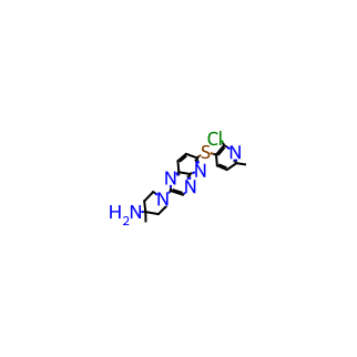 Cc1ccc(Sc2ccc3nc(N4CCC(C)(N)CC4)cnc3n2)c(Cl)n1